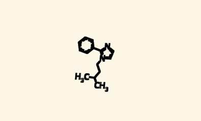 CC(C)CCn1ccnc1-c1ccccc1